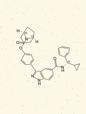 O=CN1[C@@H]2CC[C@H]1CC(Oc1ccc(-c3n[nH]c4ccc(C(=O)N[C@H](c5ccccc5)C5CC5)cc34)cc1)C2